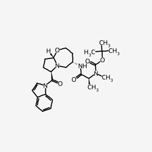 C[C@@H](C(=O)N[C@H]1CCO[C@H]2CC[C@H](C(=O)n3ccc4ccccc43)N2C1)N(C)C(=O)OC(C)(C)C